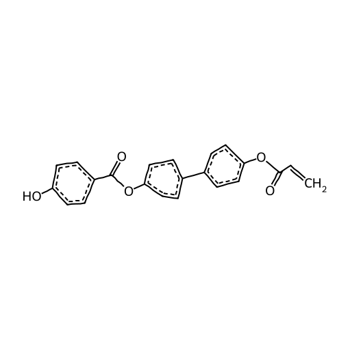 C=CC(=O)Oc1ccc(-c2ccc(OC(=O)c3ccc(O)cc3)cc2)cc1